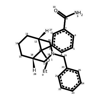 CCOC1(c2cccc(C(N)=O)c2)[C@@H]2CCC[C@H]1CN(Cc1ccccc1)C2